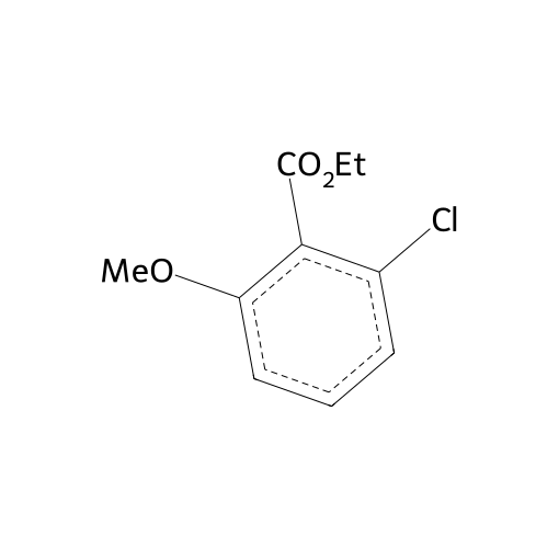 CCOC(=O)c1c(Cl)cccc1OC